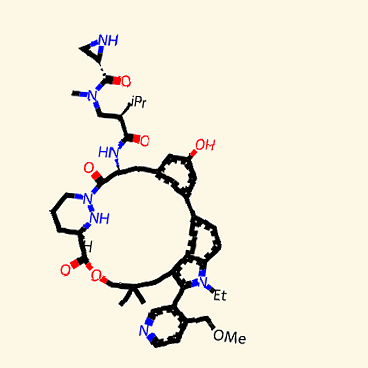 CCn1c(-c2cnccc2COC)c2c3cc(ccc31)-c1cc(O)cc(c1)C[C@H](NC(=O)[C@@H](CN(C)C(=O)[C@@H]1CN1)C(C)C)C(=O)N1CCC[C@H](N1)C(=O)OCC(C)(C)C2